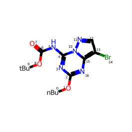 CCCCOc1nc(NC(=O)OC(C)(C)C)n2ncc(Br)c2n1